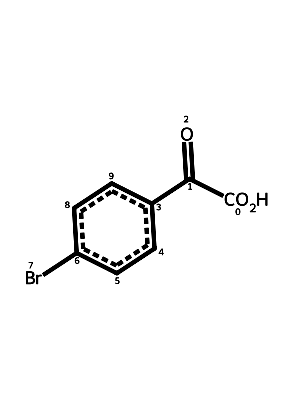 O=C(O)C(=O)c1ccc(Br)cc1